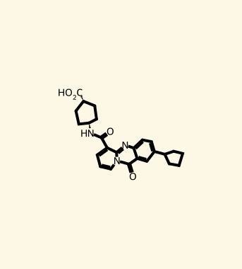 O=C(N[C@H]1CC[C@@H](C(=O)O)CC1)c1cccn2c(=O)c3cc(C4CCCC4)ccc3nc12